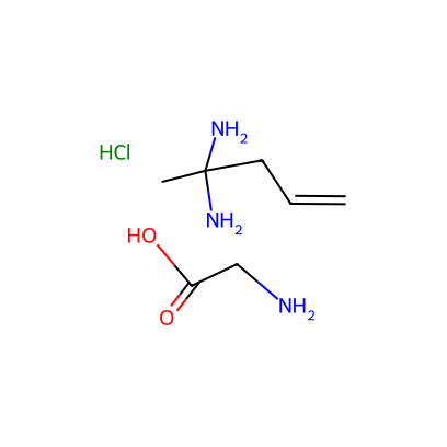 C=CCC(C)(N)N.Cl.NCC(=O)O